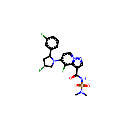 CN(C)S(=O)(=O)NC(=O)c1cnn2ccc(N3C[C@@H](F)CC3c3cccc(F)c3)c(F)c12